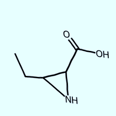 CCC1NC1C(=O)O